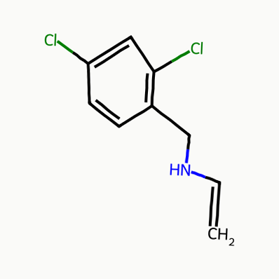 C=CNCc1ccc(Cl)cc1Cl